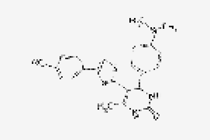 CC1=C(c2nc(-c3ccc(C#N)cc3)cs2)C(c2ccc(N(C)C)cc2)NC(=O)N1